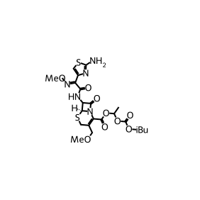 CCC(C)OC(=O)OC(C)OC(=O)C1=C(COC)CS[C@H]2C(NC(=O)C(=NOC)c3csc(N)n3)C(=O)N12